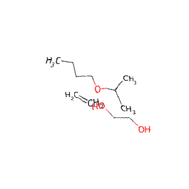 C=C.CCCCOC(C)C.OCCO